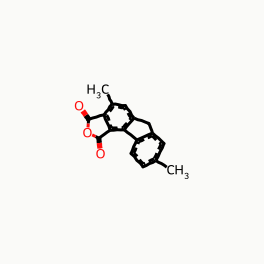 Cc1ccc2c(c1)Cc1cc(C)c3c(c1-2)C(=O)OC3=O